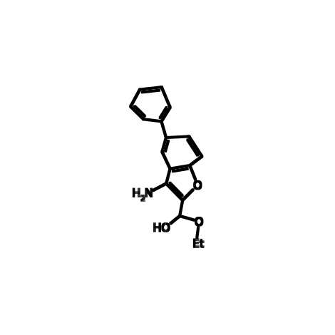 CCOC(O)c1oc2ccc(-c3ccccc3)cc2c1N